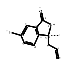 C=CC[C@]1(C)NC(=O)c2cc(F)ccc21